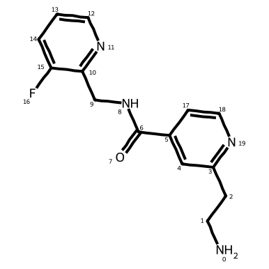 NCCc1cc(C(=O)NCc2ncccc2F)ccn1